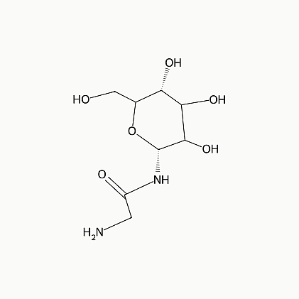 NCC(=O)N[C@@H]1OC(CO)[C@H](O)C(O)C1O